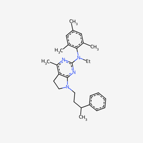 CCN(c1nc(C)c2c(n1)N(CCC(C)c1ccccc1)CC2)c1c(C)cc(C)cc1C